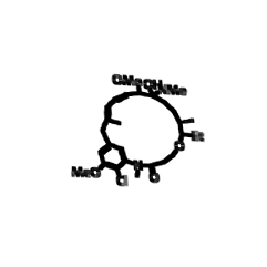 CCC1OCCC(=O)N(C)c2cc(cc(OC)c2Cl)C/C(C)=C/C=C\C(OC)C(O)(NC)CC[C@H]1C